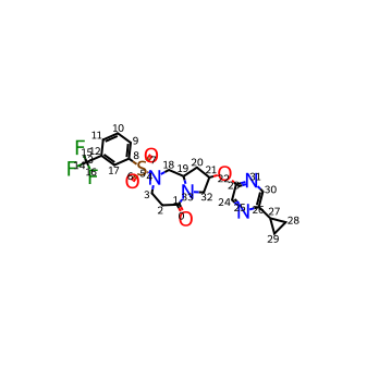 O=C1CCN(S(=O)(=O)c2cccc(C(F)(F)F)c2)CC2CC(Oc3cnc(C4CC4)cn3)CN12